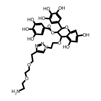 NCCOCCOCCc1cn(CCOC2c3c(O)cc(O)cc3OC(c3cc(O)c(O)c(O)c3)C2OC(=O)c2cc(O)c(O)c(O)c2)nn1